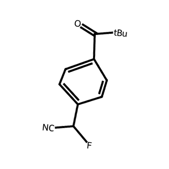 CC(C)(C)C(=O)c1ccc(C(F)C#N)cc1